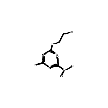 CCN(CC)c1nc(F)nc(OCCBr)n1